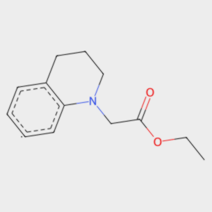 CCOC(=O)CN1CCCc2cc[c]cc21